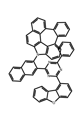 c1ccc(-c2nc(-c3cc4ccccc4cc3-n3c4cccc5c4c4c6c(cccc6ccc43)-c3ccccc3-5)nc(-c3cccc4oc5ccccc5c34)n2)cc1